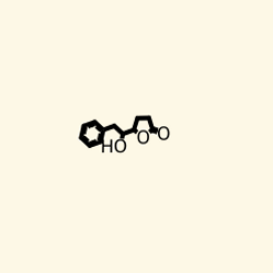 O=C1CCC(C(O)Cc2ccccc2)O1